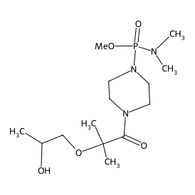 COP(=O)(N(C)C)N1CCN(C(=O)C(C)(C)OCC(C)O)CC1